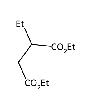 CCOC(=O)CC(CC)C(=O)OCC